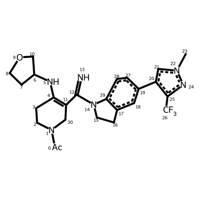 CC(=O)N1CCC(NC2CCOC2)=C(C(=N)N2CCc3cc(-c4cn(C)nc4C(F)(F)F)ccc32)C1